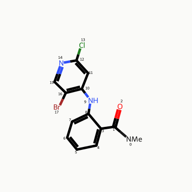 CNC(=O)c1ccccc1Nc1cc(Cl)ncc1Br